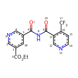 CCOC(=O)c1cncc(C(=O)NC(=O)c2cnccc2C(F)(F)F)c1